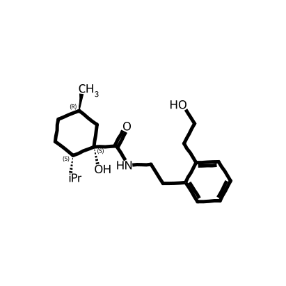 CC(C)[C@@H]1CC[C@@H](C)C[C@@]1(O)C(=O)NCCc1ccccc1CCO